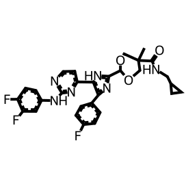 CC1(C(=O)NCC2CC2)COC(c2nc(-c3ccc(F)cc3)c(-c3ccnc(Nc4ccc(F)c(F)c4)n3)[nH]2)OC1